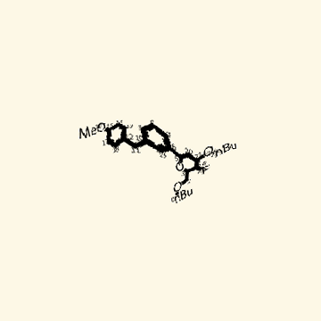 CCCCOCC1OC(c2cccc(Cc3ccc(OC)cc3)c2)C=C(OCCCC)C1F